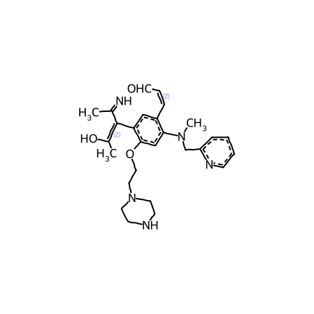 CC(=N)/C(=C(/C)O)c1cc(/C=C\C=O)c(N(C)Cc2ccccn2)cc1OCCN1CCNCC1